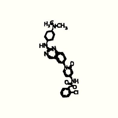 CN(C)[C@H]1CC[C@H](Nc2ncc3cc(-n4ccc(NS(=O)(=O)c5ccccc5Cl)cc4=O)ccc3n2)CC1